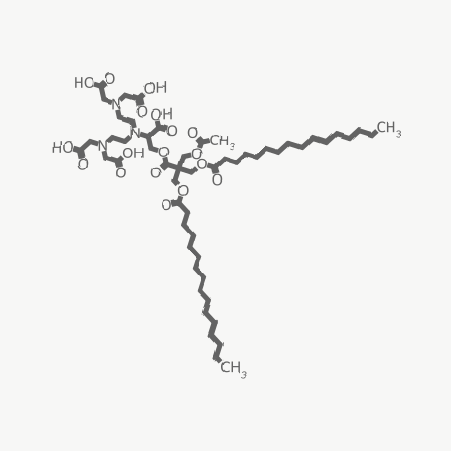 CCCCCCCCCCCCCCCC(=O)OCC(COC(C)=O)(COC(=O)CCCCCCCCCCCCCCC)C(=O)OCC(C(=O)O)N(CCN(CC(=O)O)CC(=O)O)CCN(CC(=O)O)CC(=O)O